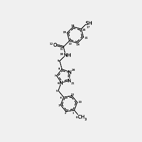 Cc1ccc(Cn2cc(CNC(=O)c3ccc(S)cc3)nn2)cc1